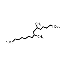 CCCCCCCCCCCCCCCCC(C)CC(C)CCCCCCCCCCCCCC